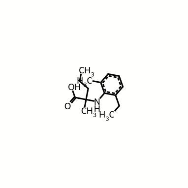 CCCC(C)(Nc1c(C)cccc1CC)C(=O)O